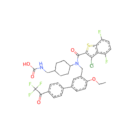 CCOc1ccc(-c2ccc(C(=O)C(F)(F)F)cc2)cc1CN(C(=O)c1sc2c(F)ccc(F)c2c1Cl)C1CCC(CNC(=O)O)CC1